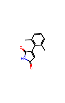 Cc1cccc(C)c1C1=CC(=O)NC1=O